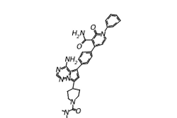 CN(C)C(=O)N1CCC(c2cc(-c3ccc(-c4ccn(-c5ccccc5)c(=O)c4C(N)=O)cc3)c3c(N)ncnn23)CC1